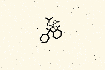 CO[Si](OC)(OC(C)C)C(C)(C1CCCCC1)C1CCCCC1